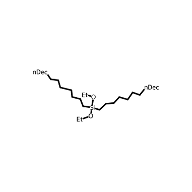 CCCCCCCCCCCCCCCCC[Si](CCCCCCCCCCCCCCCCC)(OCC)OCC